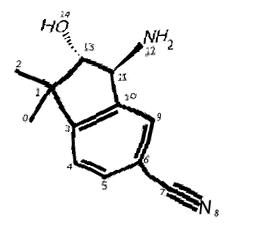 CC1(C)c2ccc(C#N)cc2[C@H](N)[C@H]1O